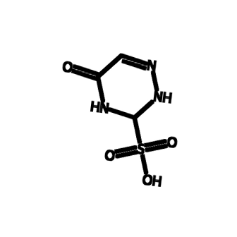 O=C1C=NNC(S(=O)(=O)O)N1